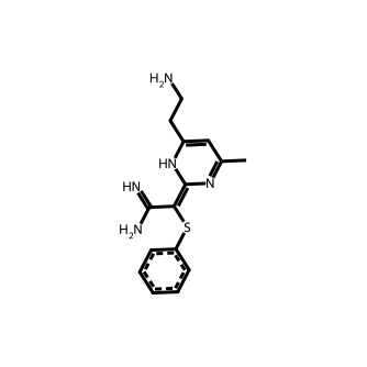 CC1=N/C(=C(\Sc2ccccc2)C(=N)N)NC(CCN)=C1